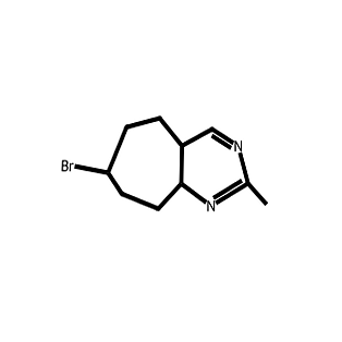 CC1=NC2CCC(Br)CCC2C=N1